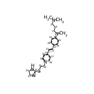 CN(C)CCCN(C)c1ccc(/C=C/c2cc[n+](CCSC3=NCCN3)cc2)cc1